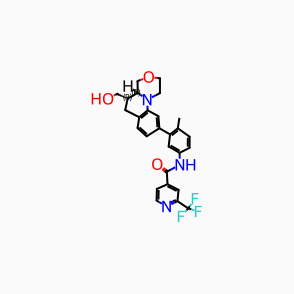 Cc1ccc(NC(=O)c2ccnc(C(F)(F)F)c2)cc1-c1ccc2c(c1)N1CCOC[C@H]1[C@H](CO)C2